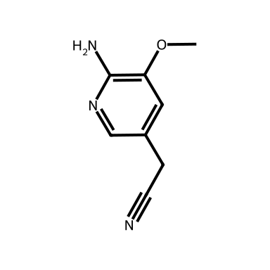 COc1cc(CC#N)cnc1N